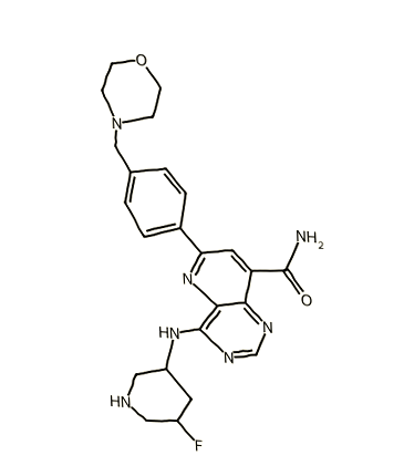 NC(=O)c1cc(-c2ccc(CN3CCOCC3)cc2)nc2c(NC3CNCC(F)C3)ncnc12